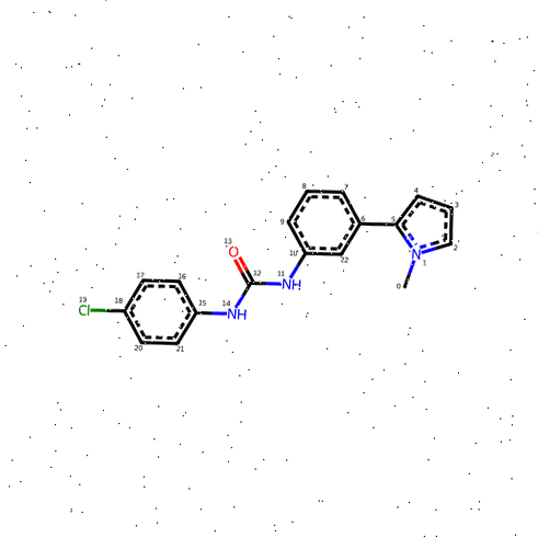 Cn1cccc1-c1cccc(NC(=O)Nc2ccc(Cl)cc2)c1